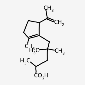 C=C(C)C1CCC(C)=C1CC(C)(C)CC(C)C(=O)O